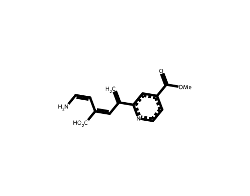 C=C(/C=C(\C=C/N)C(=O)O)c1cc(C(=O)OC)ccn1